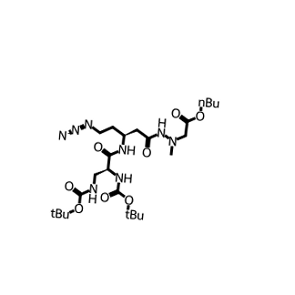 CCCCOC(=O)CN(C)NC(=O)C[C@H](CCN=[N+]=[N-])NC(=O)[C@H](CNC(=O)OC(C)(C)C)NC(=O)OC(C)(C)C